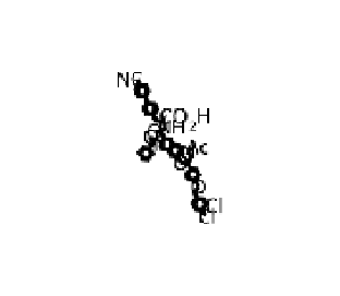 CC(=O)N1CC(c2ccc(OCc3ccc(Cl)c(Cl)c3)cc2)Oc2cc3c(cc21)CC(C(=O)N[C@@H](Cc1ccc(-c2ccc(C#N)cc2)cc1)C(=O)O)N(C(=O)c1ccccc1)C3